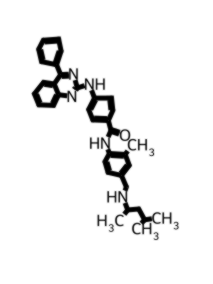 Cc1cc(CNC(C)CC(C)C)ccc1NC(=O)c1ccc(Nc2nc(-c3ccccc3)c3ccccc3n2)cc1